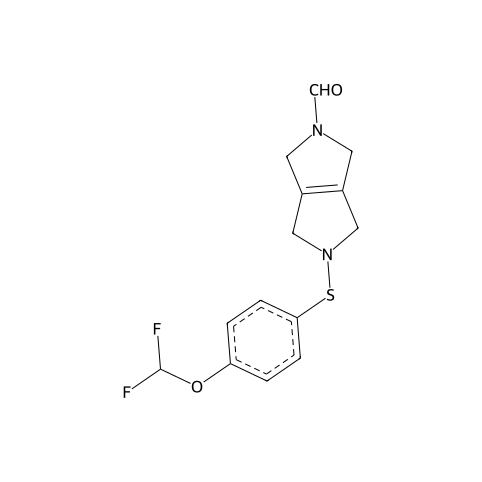 O=CN1CC2=C(C1)CN(Sc1ccc(OC(F)F)cc1)C2